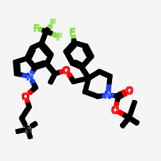 CC(OCC1(c2ccc(F)cc2)CCN(C(=O)OC(C)(C)C)CC1)c1cc(C(F)(F)F)cc2ccn(COCC[Si](C)(C)C)c12